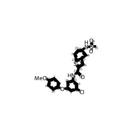 COc1ccc(Oc2cc(Cl)cc(NC(=O)c3cc4cc(NS(C)(=O)=O)ccc4s3)c2)cc1